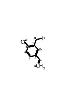 C=Cc1ccc(Cl)c(CI)c1